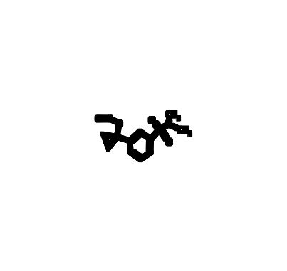 CN(C)S(=O)(=O)c1cccc(C2(OC=O)CC2)c1